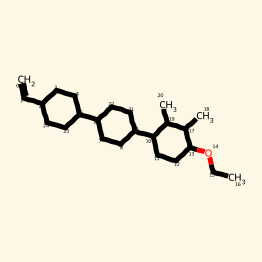 C=CC1CCC(C2CCC(C3CCC(OCC)C(C)C3C)CC2)CC1